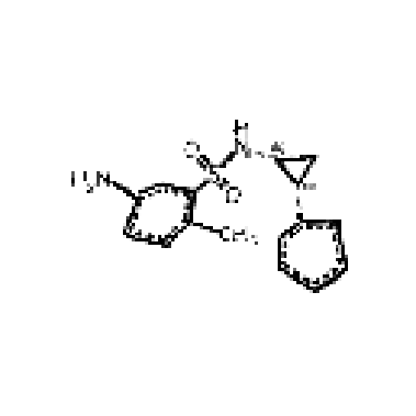 Cc1ccc(N)cc1S(=O)(=O)N[C@@H]1C[C@@H]1c1ccccc1